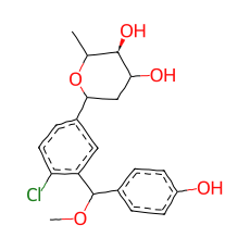 COC(c1ccc(O)cc1)c1cc(C2CC(O)[C@H](O)C(C)O2)ccc1Cl